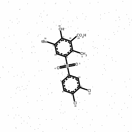 Cc1c(S(=O)(=O)c2ccc(Cl)c(Cl)c2)cc(C(C)(C)C)c(O)c1C(=O)O